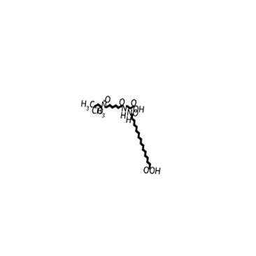 CC(C)CC(=O)N(C=O)CCCCCC(=O)NCC(NC(=O)CCCCCCCCCCCCCCCCC(=O)O)C(=O)O